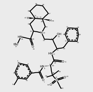 Cc1cncc(C(=O)N[C@H](C(=O)NC(Cc2ccccc2)C(O)CN2C[C@H]3CCCC[C@H]3CC2C(=O)NC(C)(C)C)C(C)(C)S(C)(=O)=O)c1